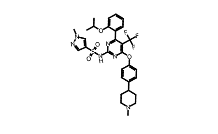 CC(C)Oc1ccccc1-c1nc(NS(=O)(=O)c2cnn(C)c2)nc(Oc2ccc(C3CCN(C)CC3)cc2)c1C(F)(F)F